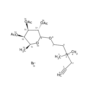 C#CC[N+](C)(C)CCOC1O[C@@H](C)[C@@H](OC(C)=O)[C@@H](OC(C)=O)[C@@H]1OC(C)=O.[Br-]